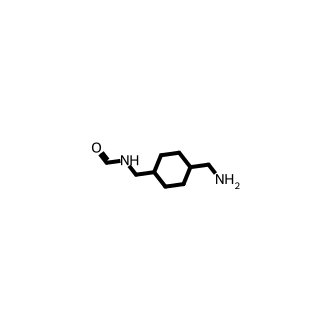 NCC1CCC(CNC=O)CC1